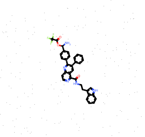 NC(OC(=O)C(F)(F)F)c1ccc(-c2nc3ccnc(C(=O)NCCc4c[nH]c5ccccc45)c3cc2-c2ccccc2)cc1